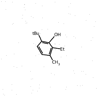 CCc1c(C)ccc(C(C)(C)C)c1O